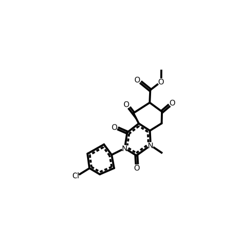 COC(=O)C1C(=O)Cc2c(c(=O)n(-c3ccc(Cl)cc3)c(=O)n2C)C1=O